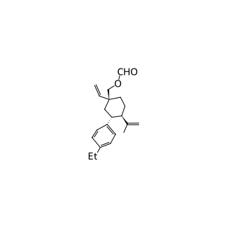 C=C[C@]1(COC=O)CC[C@@H](C(=C)C)[C@H](c2ccc(CC)cc2)C1